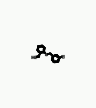 [CH]=Cc1ccccc1OCc1cccc(Cl)c1